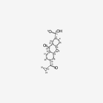 O=C(O)c1ccc2oc3cc(C(=O)C4CC4)ccc3c(=O)c2c1